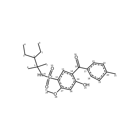 CCC(CC)C(C)(C)NS(=O)(=O)c1cc(C(=O)c2ccc(C)cc2)c(O)cc1OC